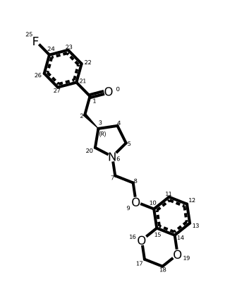 O=C(C[C@H]1CCN(CCOc2cccc3c2OCCO3)C1)c1ccc(F)cc1